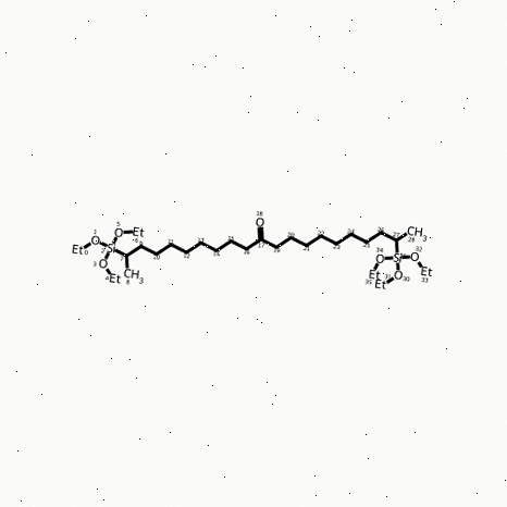 CCO[Si](OCC)(OCC)C(C)CCCCCCCCC(=O)CCCCCCCCC(C)[Si](OCC)(OCC)OCC